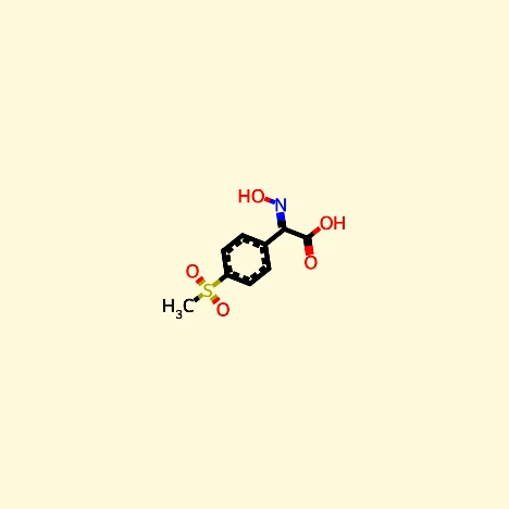 CS(=O)(=O)c1ccc(/C(=N\O)C(=O)O)cc1